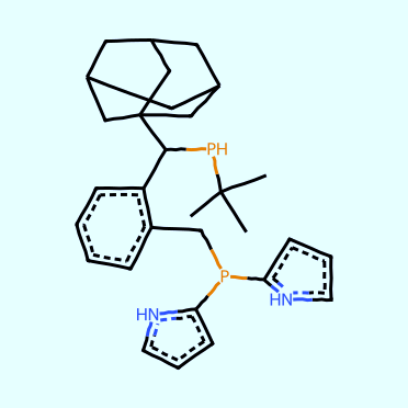 CC(C)(C)PC(c1ccccc1CP(c1ccc[nH]1)c1ccc[nH]1)C12CC3CC(CC(C3)C1)C2